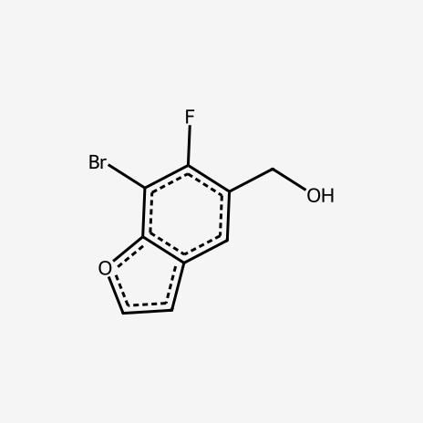 OCc1cc2ccoc2c(Br)c1F